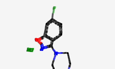 Cl.Fc1ccc2c(N3CCNCC3)noc2c1